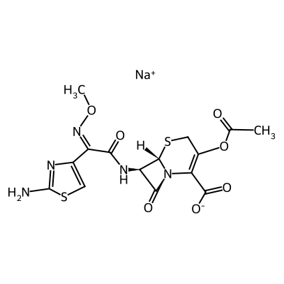 CO/N=C(\C(=O)N[C@@H]1C(=O)N2C(C(=O)[O-])=C(OC(C)=O)CS[C@@H]12)c1csc(N)n1.[Na+]